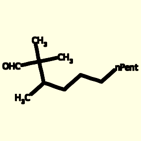 CCCCCCCCC(C)C(C)(C)C=O